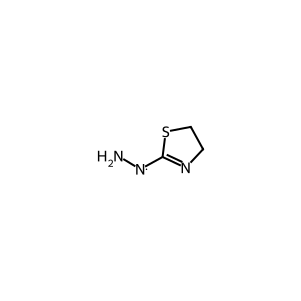 N[N]C1=NCCS1